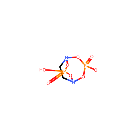 O=P1(O)ON2CCN(O1)OP(=O)(O)O2